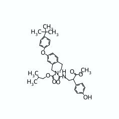 COC(=O)C(CNC(=O)[N+]1(C(=O)OCC(C)C)CCc2ccc(Oc3ccc(C(C)(C)C)cc3)cc2C1)c1ccc(O)cc1